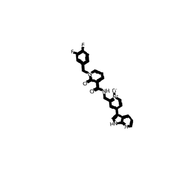 O=C(NCc1cc(-c2c[nH]c3ncccc23)cc[n+]1[O-])c1cccn(Cc2ccc(F)c(F)c2)c1=O